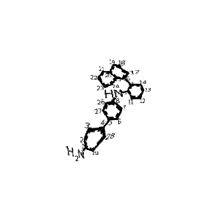 Nc1ccc(-c2ccc(Nc3ccccc3-c3cccc4ccccc34)cc2)cc1